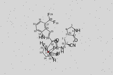 N#C[C@H](C[C@@H]1CCNC1=O)NC(=O)[C@H]1[C@@H]2CC[C@@H](CC2(F)F)N1C(=O)c1cc2c(C(F)F)cccc2[nH]1